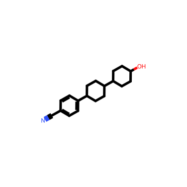 N#Cc1ccc(C2CCC(C3CCC(O)CC3)CC2)cc1